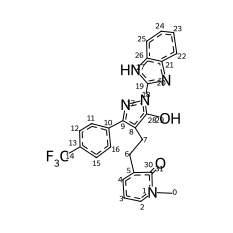 Cn1cccc(CCc2c(-c3ccc(C(F)(F)F)cc3)nn(-c3nc4ccccc4[nH]3)c2O)c1=O